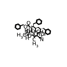 CC(CO[SiH](C)C)C(C#N)CC(=O)[C@@H](Cc1ccccc1)C[C@H]([C@H](Cc1ccccc1)NC(=O)OCc1ccccc1)C(C)(C)C